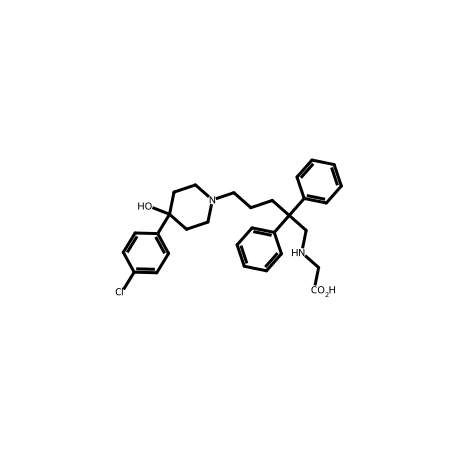 O=C(O)CNCC(CCCN1CCC(O)(c2ccc(Cl)cc2)CC1)(c1ccccc1)c1ccccc1